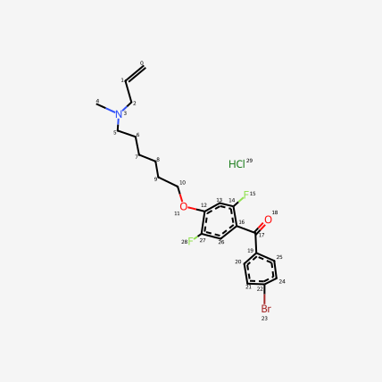 C=CCN(C)CCCCCCOc1cc(F)c(C(=O)c2ccc(Br)cc2)cc1F.Cl